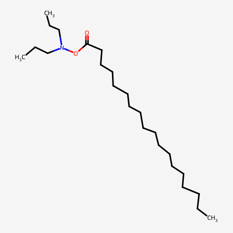 CCCCCCCCCCCCCCCCCC(=O)ON(CCC)CCC